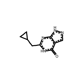 O=c1[nH]c(CC2CC2)nc2[nH]ncc12